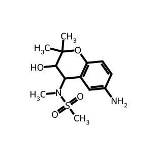 CN(C1c2cc(N)ccc2OC(C)(C)C1O)S(C)(=O)=O